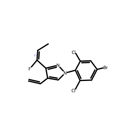 C=Cc1cn(-c2c(Cl)cc(Br)cc2Cl)nc1/C(F)=C\C